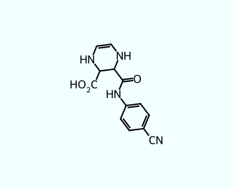 N#Cc1ccc(NC(=O)C2NC=CNC2C(=O)O)cc1